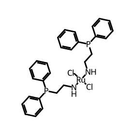 [Cl][Ru]([Cl])([NH]CCP(c1ccccc1)c1ccccc1)[NH]CCP(c1ccccc1)c1ccccc1